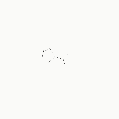 CC(C)(C)C(C(=O)O)C1C=CCC1